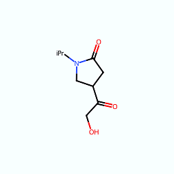 CC(C)N1CC(C(=O)CO)CC1=O